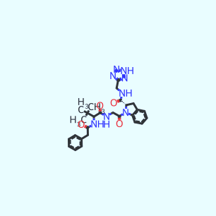 CC(C)(C)C(NC(=O)Cc1ccccc1)C(=O)NCC(=O)N1c2ccccc2C[C@H]1C(=O)NCc1nn[nH]n1